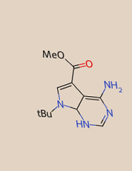 COC(=O)C1=CN(C(C)(C)C)C2NC=NC(N)=C12